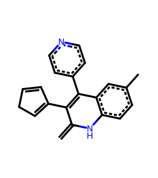 C=C1Nc2ccc(C)cc2C(c2ccncc2)=C1C1=CCC=C1